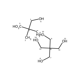 CC(C)(CO)C(=O)O.OCC(CO)(CO)CO